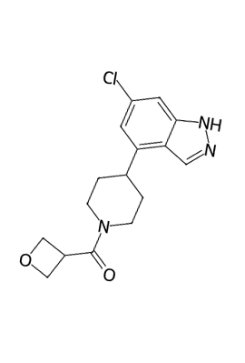 O=C(C1COC1)N1CCC(c2cc(Cl)cc3[nH]ncc23)CC1